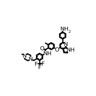 Cc1ccc(Oc2cc(-c3ccc(N)cc3)nc3[nH]ccc23)cc1C(=O)Nc1ccc(CN2CCN(C)CC2)c(C(F)(F)F)c1